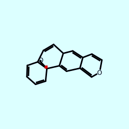 C1=CC23C=CC4C=C5C=COC=C5C=C4C2(C=C1)CCCO3